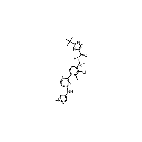 Cc1c(-c2ncnc(Nc3cnn(C)c3)n2)ccc([C@@H](C)NC(=O)c2nc(C(C)(C)C)no2)c1Cl